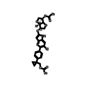 CC(C)C(=O)OCC1(c2ccc(-c3nc4cc(O[C@@H]5COC6[C@H](OC(=O)C(C)C)CO[C@@H]65)[nH]c4cc3Cl)cc2)CC1